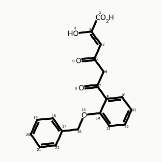 O=C(C=C(O)C(=O)O)CC(=O)c1ccccc1OCc1ccccc1